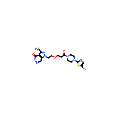 N#Cc1cnc(N2CCN(C(=O)CCOCCn3nc(C(F)(F)F)c4c(=O)[nH]ncc43)CC2)s1